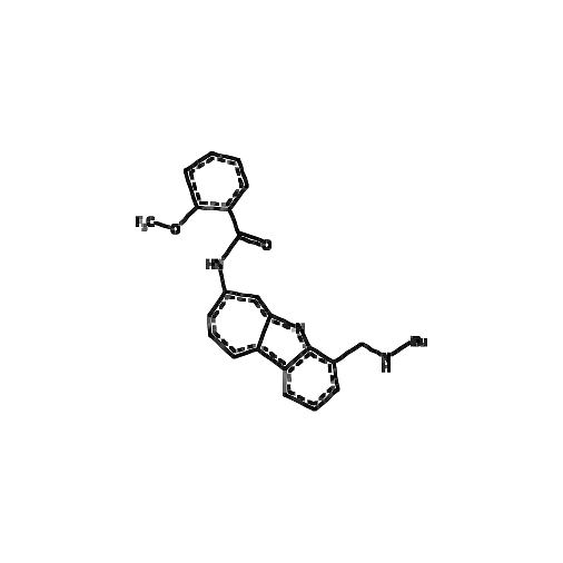 CCC(C)NCc1cccc2c3cccc(NC(=O)c4ccccc4OC(F)(F)F)cc-3nc12